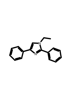 CCn1cc(-c2ccccc2)nc1-c1ccccc1